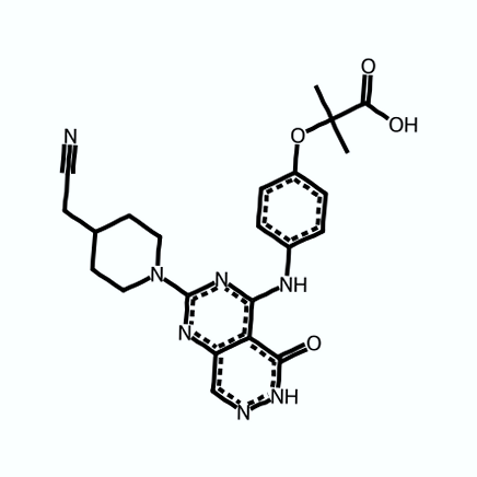 CC(C)(Oc1ccc(Nc2nc(N3CCC(CC#N)CC3)nc3cn[nH]c(=O)c23)cc1)C(=O)O